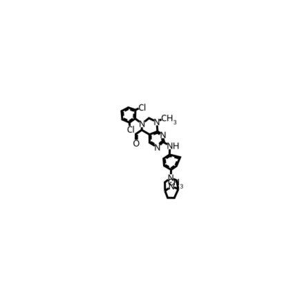 CN1CN(c2c(Cl)cccc2Cl)C(C=O)c2cnc(Nc3ccc(N4CC5CCC(C4)N5C)cc3)nc21